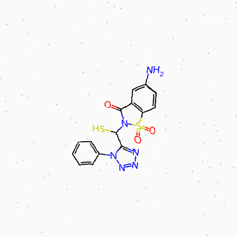 Nc1ccc2c(c1)C(=O)N(C(S)c1nnnn1-c1ccccc1)S2(=O)=O